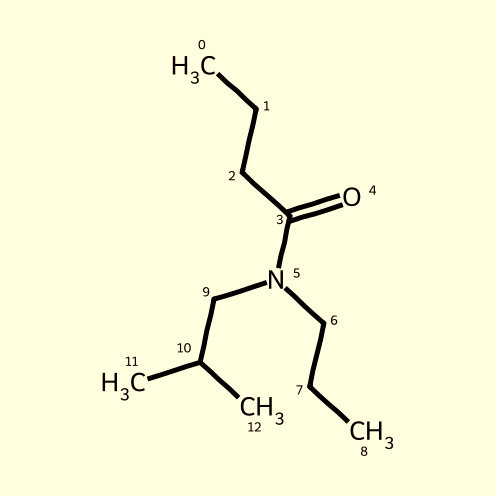 CCCC(=O)N(CCC)CC(C)C